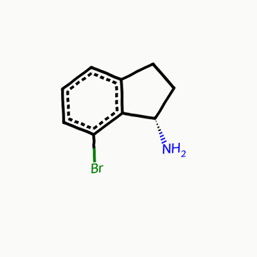 N[C@H]1CCc2cccc(Br)c21